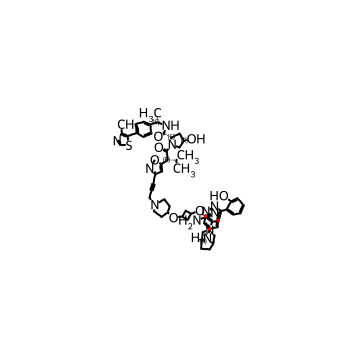 Cc1ncsc1-c1ccc([C@H](C)NC(=O)[C@@H]2C[C@@H](O)CN2C(=O)[C@@H](c2cc(C#CCN3CCC(OC4CC(Oc5cc(N6C7CC[C@@H]6CN(c6cc(-c8ccccc8O)nnc6N)C7)ccn5)C4)CC3)no2)C(C)C)cc1